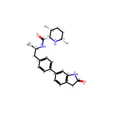 C[C@@H]1CC[C@H](C)N[C@@H]1C(=O)N[C@H](C#N)Cc1ccc(-c2ccc3c(c2)NC(=O)C3)cc1